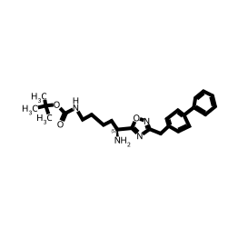 CC(C)(C)OC(=O)NCCCC[C@H](N)c1nc(Cc2ccc(-c3ccccc3)cc2)no1